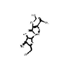 N#CC(=N)c1nnn(C2OC(CO)C(O)C2O)c(=O)c1NCO